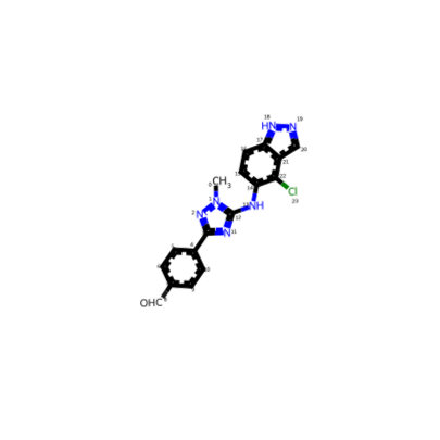 Cn1nc(-c2ccc(C=O)cc2)nc1Nc1ccc2[nH]ncc2c1Cl